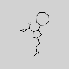 COCCN1CC(C2CCCCCCC2)[C@@H](C(=O)O)C1